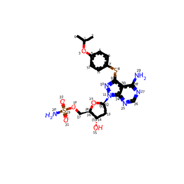 CC(C)Oc1ccc(Sc2nn([C@H]3C[C@H](O)[C@@H](COS(N)(=O)=O)O3)c3ncnc(N)c23)cc1